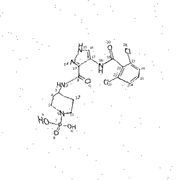 O=C(NC1CCN(P(=O)(O)O)CC1)c1n[nH]cc1NC(=O)c1c(Cl)cccc1Cl